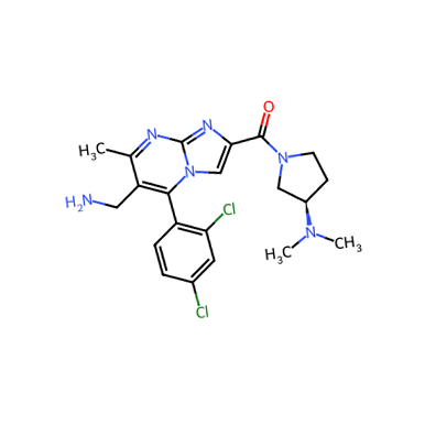 Cc1nc2nc(C(=O)N3CC[C@@H](N(C)C)C3)cn2c(-c2ccc(Cl)cc2Cl)c1CN